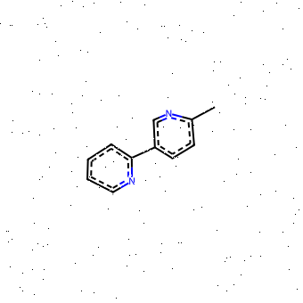 Cc1ccc(-c2ccc[c]n2)cn1